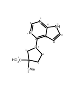 CSC1(C(=O)O)CCN(c2ncnc3[nH]ccc23)C1